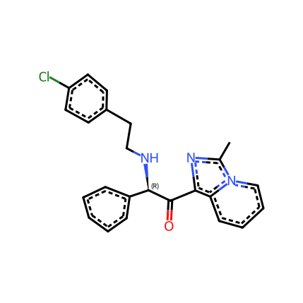 Cc1nc(C(=O)[C@H](NCCc2ccc(Cl)cc2)c2ccccc2)c2ccccn12